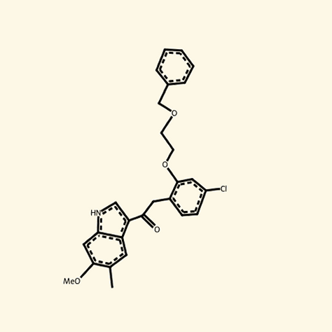 COc1cc2[nH]cc(C(=O)Cc3ccc(Cl)cc3OCCOCc3ccccc3)c2cc1C